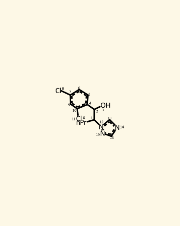 CCCC(C(O)c1ccc(Cl)cc1Cl)n1cncn1